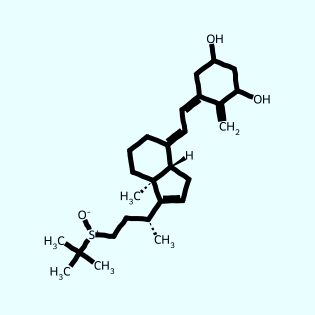 C=C1/C(=C\C=C2/CCC[C@]3(C)C([C@H](C)CC[S+]([O-])C(C)(C)C)=CC[C@@H]23)CC(O)CC1O